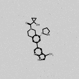 Cc1c[nH]c2ncc(-c3cc4c(c([C@@H]5CCCN5)c3)CN(C(=O)C3(O)CC3)CC4)cc12